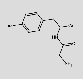 CC(=O)c1ccc(CC(NC(=O)CN)C(C)=O)cc1